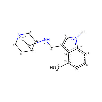 Cn1cc(CNC2CN3CCC2CC3)c2c(C(=O)O)cccc21